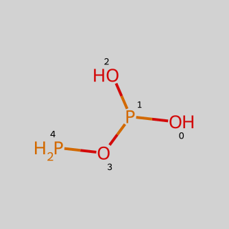 OP(O)OP